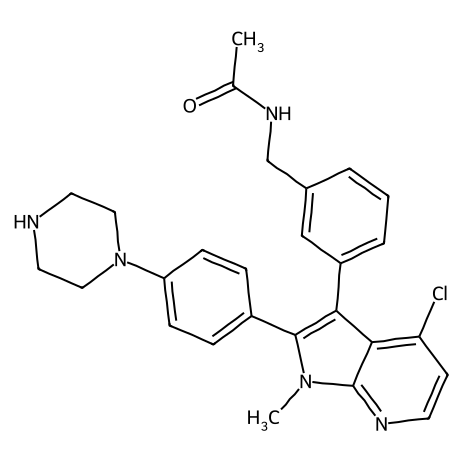 CC(=O)NCc1cccc(-c2c(-c3ccc(N4CCNCC4)cc3)n(C)c3nccc(Cl)c23)c1